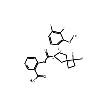 COc1c([C@@H]2C[C@@]3(CCC3(F)F)C[C@H]2C(=O)Nc2ccncc2C(C)=O)ccc(F)c1F